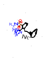 N#Cc1ccccc1Cc1cccc(S(N)(=O)=O)c1-c1nnn[nH]1